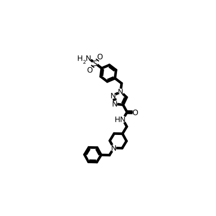 NS(=O)(=O)c1ccc(Cn2cc(C(=O)NCC3CCN(Cc4ccccc4)CC3)nn2)cc1